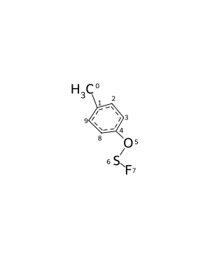 Cc1ccc(OSF)cc1